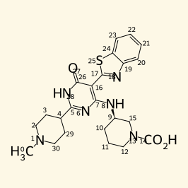 CN1CCC(c2nc(N[C@@H]3CCCN(C(=O)O)C3)c(-c3nc4ccccc4s3)c(=O)[nH]2)CC1